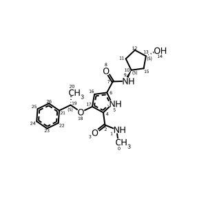 CNC(=O)c1[nH]c(C(=O)N[C@H]2CC[C@H](O)C2)cc1O[C@@H](C)c1ccccc1